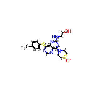 Cc1ccc(Sc2ncnc3c(N4CC[S+]([O-])CC4)nc(NCCO)nc23)cc1